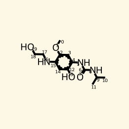 COc1cc(NC(=O)NC(C)C)c(O)cc1NCCO